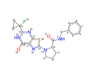 O=C(NCc1ccccc1)C1CCCN1c1nc2c(=O)[nH]c(C3(F)CC3)nc2s1